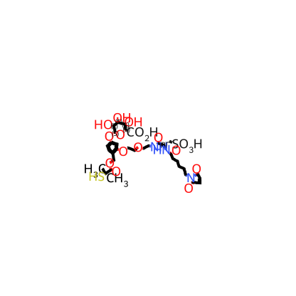 CC(C)(S)C(=O)OCc1ccc(O[C@@H]2O[C@H](C(=O)O)[C@@H](O)[C@H](O)[C@H]2O)cc1OCCOCCNC(=O)[C@H](CS(=O)(=O)O)NC(=O)CCCCCN1C(=O)C=CC1=O